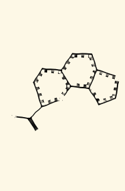 NC(=O)c1ccc2ccc3occc3c2n1